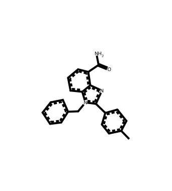 Cc1ccc(-c2nc3c(C(N)=O)cccc3n2Cc2ccccc2)cc1